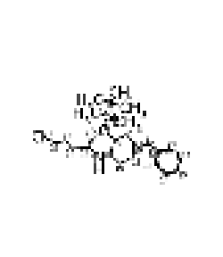 CC(C)(C)[Si](C)(C)OC1CN(Cc2ccccc2)CCC1NC(=O)CCCCl